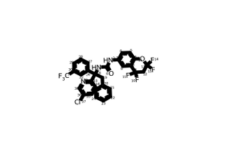 O=C(Nc1ccc2c(c1)C(F)(F)CC(F)(F)O2)NC(Cc1ccccc1)(c1cccc(C(F)(F)F)c1)c1ccc(Cl)cn1